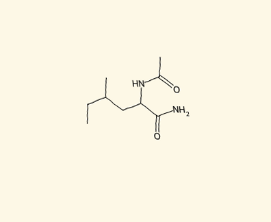 CCC(C)CC(NC(C)=O)C(N)=O